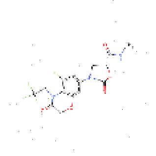 CNC(=O)[C@H]1CN(c2cc(F)c3c(c2)OCC(=O)N3CC(F)(F)F)C(=O)O1